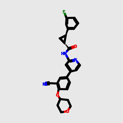 N#Cc1cc(-c2ccnc(NC(=O)[C@@H]3C[C@H]3c3cccc(F)c3)c2)ccc1OC1CCOCC1